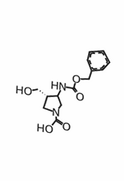 O=C(NC1CN(C(=O)O)C[C@@H]1CO)OCc1ccccc1